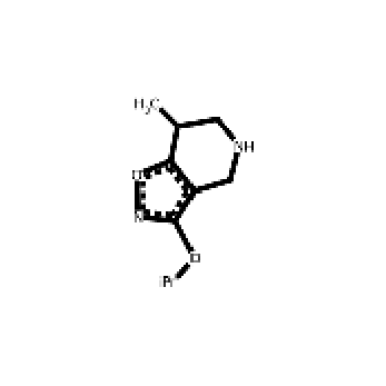 CC(C)Oc1noc2c1CNCC2C